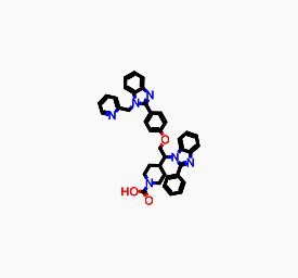 O=C(O)N1CCC(C(COc2ccc(-c3nc4ccccc4n3Cc3ccccn3)cc2)n2c(-c3ccccc3)nc3ccccc32)CC1